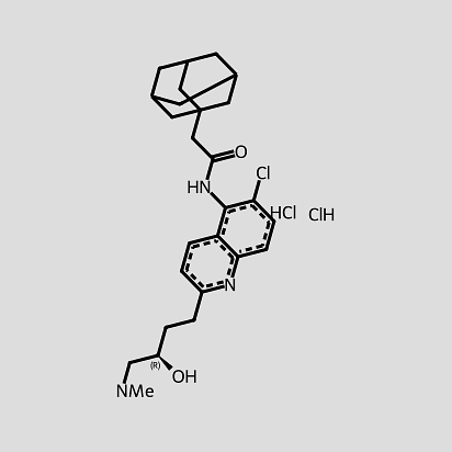 CNC[C@H](O)CCc1ccc2c(NC(=O)CC34CC5CC(CC(C5)C3)C4)c(Cl)ccc2n1.Cl.Cl